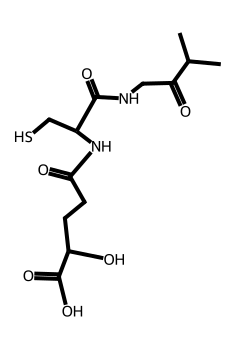 CC(C)C(=O)CNC(=O)C(CS)NC(=O)CCC(O)C(=O)O